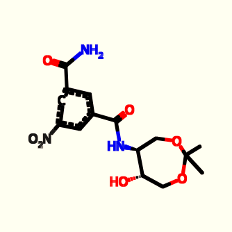 CC1(C)OC[C@H](NC(=O)c2cc(C(N)=O)cc([N+](=O)[O-])c2)[C@@H](O)CO1